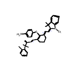 C=C(/C=C/C1=C(Sc2ccc(N)cc2)C(=C/C=C2/N(CC)c3ccccc3C2(C)C)/CCC1)C(C)(C)c1ccccc1C